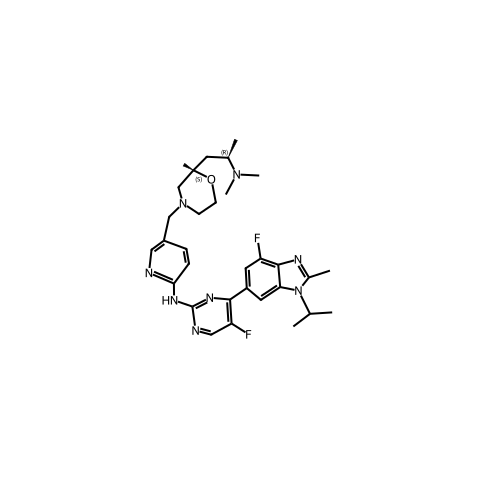 Cc1nc2c(F)cc(-c3nc(Nc4ccc(CN5CCO[C@@](C)(C[C@@H](C)N(C)C)C5)cn4)ncc3F)cc2n1C(C)C